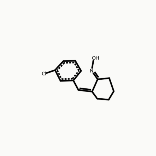 ON=C1CCCCC1=Cc1cccc(Cl)c1